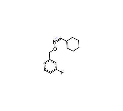 Fc1cccc(CO/N=[C]\C2=CCCCC2)c1